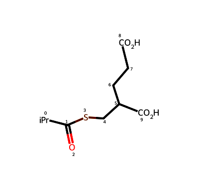 CC(C)C(=O)SCC(CCC(=O)O)C(=O)O